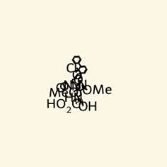 COc1nc(OCC2(OCCCN3CCOCC3)C=CC=C(c3ccccc3)C2(C)Cl)nc(OC)c1CN[C@@H](CO)C(=O)O